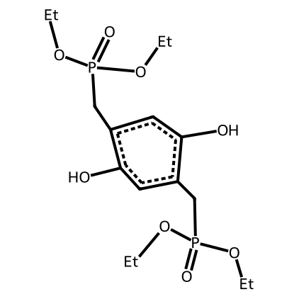 CCOP(=O)(Cc1cc(O)c(CP(=O)(OCC)OCC)cc1O)OCC